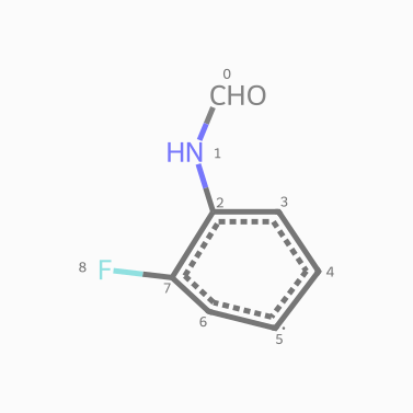 O=CNc1cc[c]cc1F